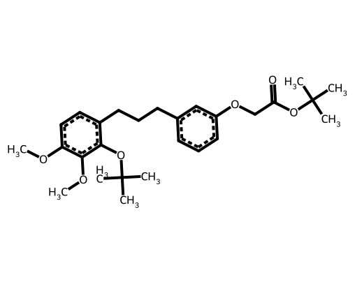 COc1ccc(CCCc2cccc(OCC(=O)OC(C)(C)C)c2)c(OC(C)(C)C)c1OC